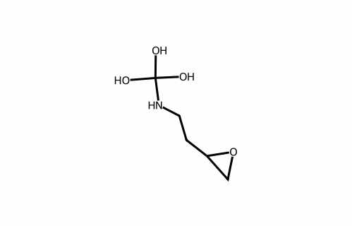 OC(O)(O)NCCC1CO1